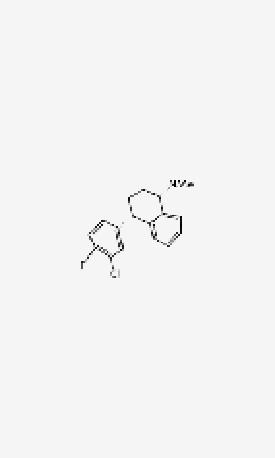 CN[C@H]1CC[C@@H](c2ccc(F)c(Cl)c2)c2ccccc21